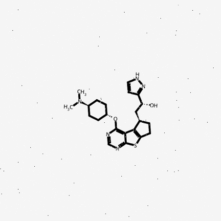 CN(C)[C@H]1CC[C@H](Oc2ncnc3sc4c(c23)[C@@H](C[C@@H](O)c2cc[nH]n2)CC4)CC1